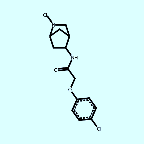 O=C(COc1ccc(Cl)cc1)NC1CC2CC1CN2Cl